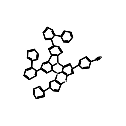 N#Cc1ccc(-c2cc3c4c(c2)-n2c5ccc(-c6ccccc6-c6ccccc6)cc5c5cc(-c6ccccc6-c6ccccc6)cc(c52)B4c2cc(-c4ccccc4)ccc2O3)cc1